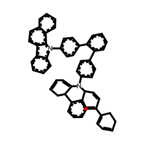 C1=CCCC(C2=CCC(N(C3=CC=CCC3c3ccccc3)c3ccc(-c4ccccc4-c4ccc(-n5c6ccccc6c6ccc7ccccc7c65)cc4)cc3)C=C2)=C1